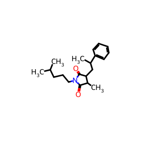 CC(C)CCCN1C(=O)C(C)C(CC(C)c2ccccc2)C1=O